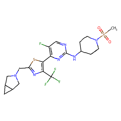 CS(=O)(=O)N1CCC(Nc2ncc(F)c(-c3sc(CN4CC5CC5C4)nc3C(F)(F)F)n2)CC1